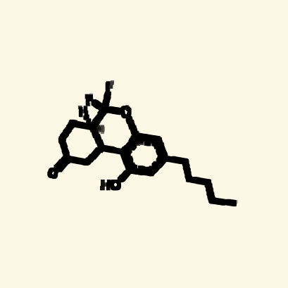 CCCCCc1cc(O)c2c(c1)OC(F)(F)[C@@H]1CCC(=O)CC21